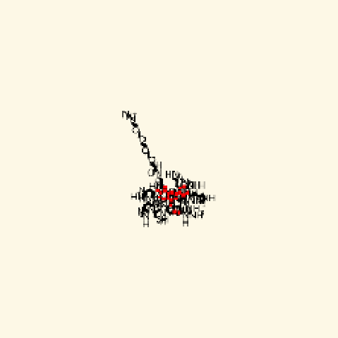 [N-]=[N+]=NCCOCCOCCOCCOCCC(=O)NCCCCC(NC(=O)C(Cc1c[nH]cn1)NC(=O)C(Cc1c[nH]cn1)NC(=O)C(N)Cc1c[nH]cn1)C(=O)NC(Cc1c[nH]cn1)C(=O)NC(Cc1c[nH]cn1)C(=O)NC(CS)C(=O)NC(CCCCNC(=N)N)C(=O)NC(Cc1c[nH]cn1)C(=O)NC(Cc1c[nH]cn1)C(=O)NC(Cc1c[nH]cn1)C(=O)O